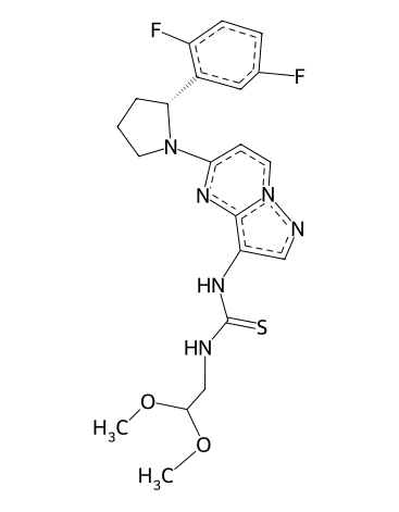 COC(CNC(=S)Nc1cnn2ccc(N3CCC[C@@H]3c3cc(F)ccc3F)nc12)OC